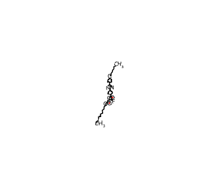 CCCCCCCCCCCOC(=O)CC(OC(=O)c1ccc(-c2ncc(-c3ccc(OCCCCCCCC)cc3)cn2)cc1)C(F)(F)F